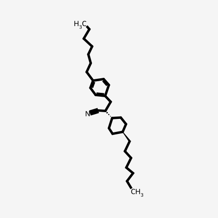 CCCCCCCc1ccc(CC(C#N)[C@H]2CC[C@H](CCCCCCC)CC2)cc1